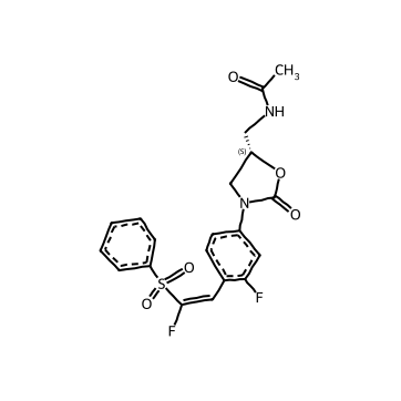 CC(=O)NC[C@H]1CN(c2ccc(C=C(F)S(=O)(=O)c3ccccc3)c(F)c2)C(=O)O1